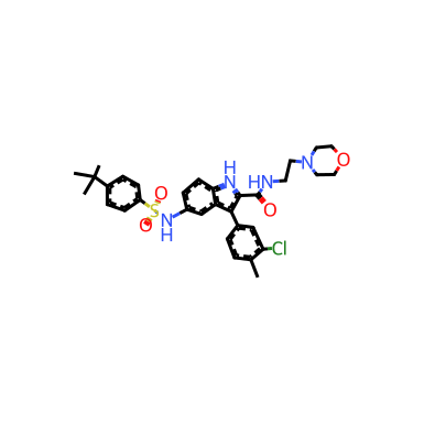 Cc1ccc(-c2c(C(=O)NCCN3CCOCC3)[nH]c3ccc(NS(=O)(=O)c4ccc(C(C)(C)C)cc4)cc23)cc1Cl